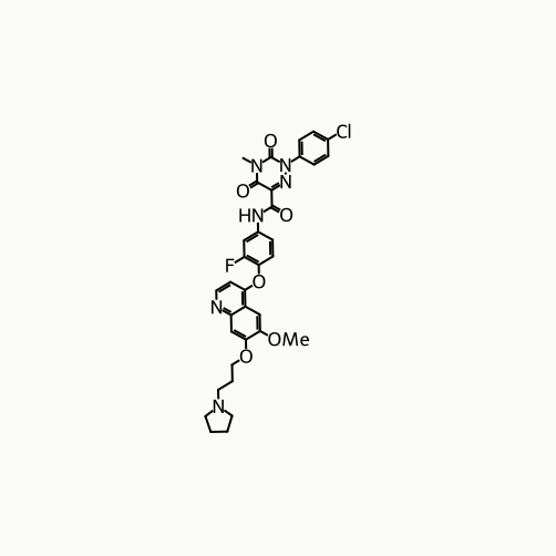 COc1cc2c(Oc3ccc(NC(=O)c4nn(-c5ccc(Cl)cc5)c(=O)n(C)c4=O)cc3F)ccnc2cc1OCCCN1CCCC1